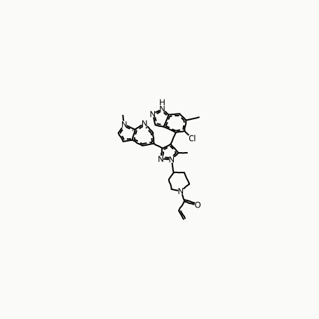 C=CC(=O)N1CCC(n2nc(-c3cnc4c(ccn4C)c3)c(-c3c(Cl)c(C)cc4[nH]ncc34)c2C)CC1